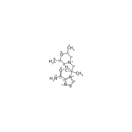 CC1CN(CC(C)(C)n2c[c]nc2C(N)=O)CC(C)O1